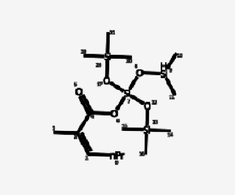 CCCC=C(C)C(=O)O[Si](O[SiH](C)C)(O[Si](C)(C)C)O[Si](C)(C)C